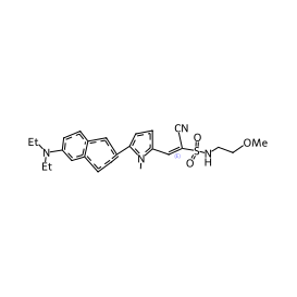 CCN(CC)c1ccc2cc(-c3ccc(/C=C(\C#N)S(=O)(=O)NCCOC)n3C)ccc2c1